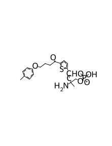 Cc1ccc(OCCCC(=O)c2ccc(CCC(C)(N)COP(=O)(O)O)s2)cc1